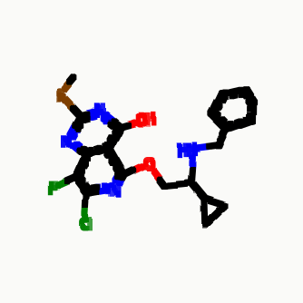 CSc1nc(O)c2c(OCC(NCc3ccccc3)C3CC3)nc(Cl)c(F)c2n1